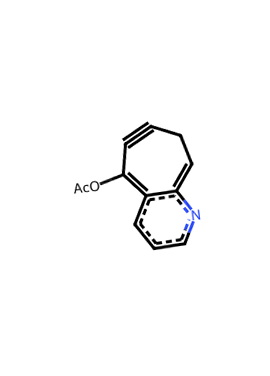 CC(=O)OC1=c2cccnc2=CCC#C1